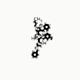 CCCCN1CC(C(=O)N[C@@H](Cc2cc(F)cc(F)c2)[C@H](O)[C@H]2C[C@@H](OCc3ccccc3)CN2)C(Cc2ccccc2)C1=O